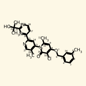 Cc1cccc(COc2cc(C)n(-c3cc(-c4ccnc(C(C)(C)O)n4)ncc3C)c(=O)c2Cl)c1